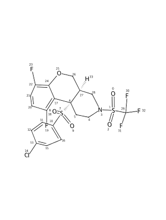 O=S(=O)(N1CC[C@@]2(S(=O)(=O)c3ccc(Cl)cc3)c3c(F)ccc(F)c3OC[C@H]2C1)C(F)(F)F